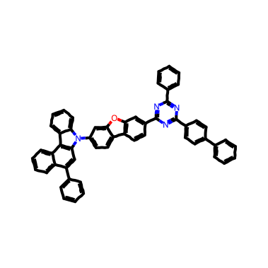 c1ccc(-c2ccc(-c3nc(-c4ccccc4)nc(-c4ccc5c(c4)oc4cc(-n6c7ccccc7c7c8ccccc8c(-c8ccccc8)cc76)ccc45)n3)cc2)cc1